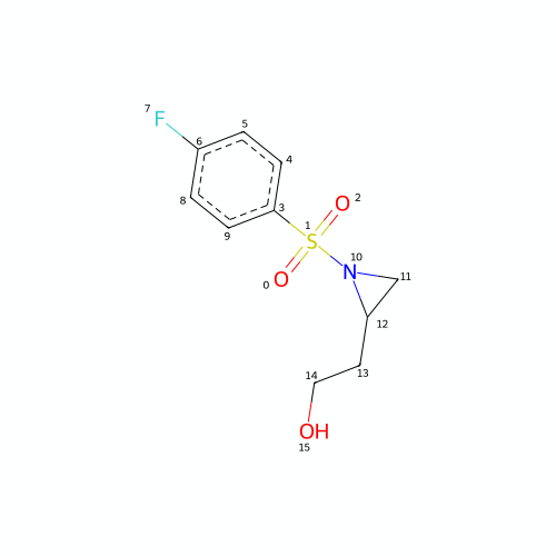 O=S(=O)(c1ccc(F)cc1)N1CC1CCO